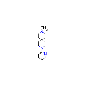 CN1CCC2(CC1)CCN(c1ccccn1)CC2